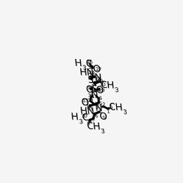 CCCN1C(=O)C(CC(C)C)NC(=O)C12CCN(S(=O)(=O)c1sc(NC(C)=O)nc1C)CC2